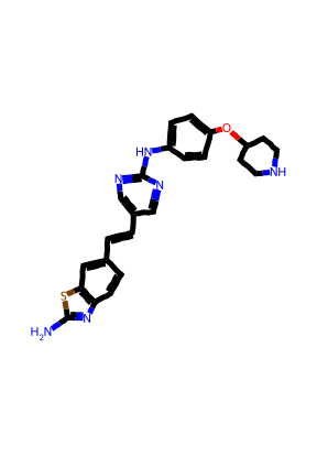 Nc1nc2ccc(C=Cc3cnc(Nc4ccc(OC5CCNCC5)cc4)nc3)cc2s1